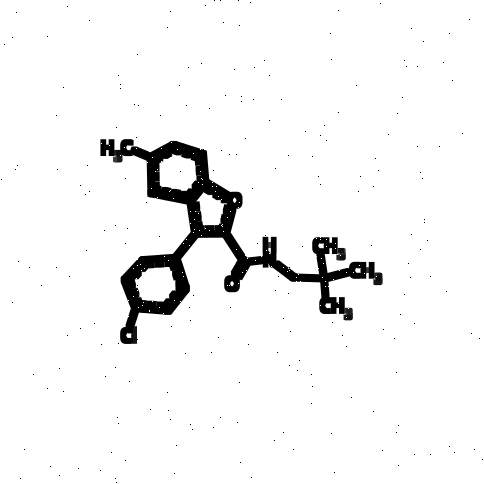 Cc1ccc2oc(C(=O)NCC(C)(C)C)c(-c3ccc(Cl)cc3)c2c1